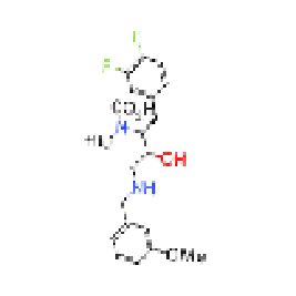 COc1cccc(CNC[C@H](O)[C@H](Cc2ccc(F)c(F)c2)N(C(=O)O)C(C)(C)C)c1